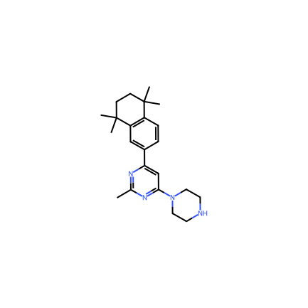 Cc1nc(-c2ccc3c(c2)C(C)(C)CCC3(C)C)cc(N2CCNCC2)n1